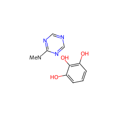 CNc1ncncn1.Oc1cccc(O)c1O